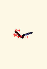 C/C=C/C=C/C=C/C=C/C=C/[C@H](C)[C@@H](O)[C@@H](C)[C@H](C)OC(=O)C[C@H](O)C[C@H](O)CC[C@H](C)O